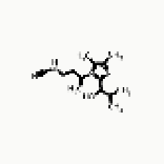 C=C(CCBC#N)n1c(C(O)C(C)C)nc(C)c1C